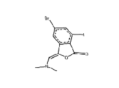 CN(C)/C=C1\OC(=O)c2c(I)cc(Br)cc21